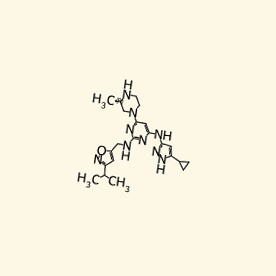 CC(C)c1cc(CNc2nc(Nc3cc(C4CC4)[nH]n3)cc(N3CCN[C@H](C)C3)n2)on1